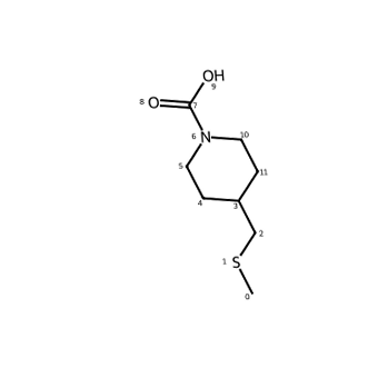 CSCC1CCN(C(=O)O)CC1